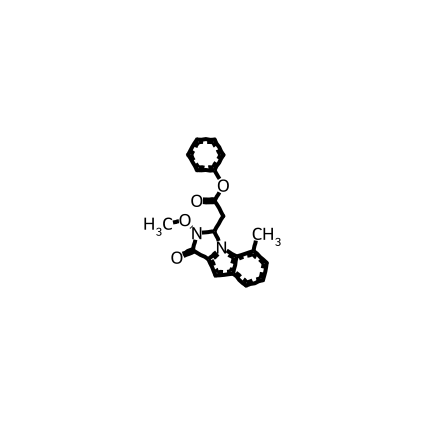 CON1C(=O)c2cc3cccc(C)c3n2C1CC(=O)Oc1ccccc1